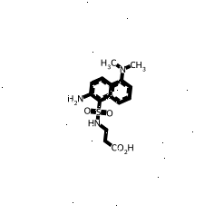 CN(C)c1cccc2c(S(=O)(=O)NCCC(=O)O)c(N)ccc12